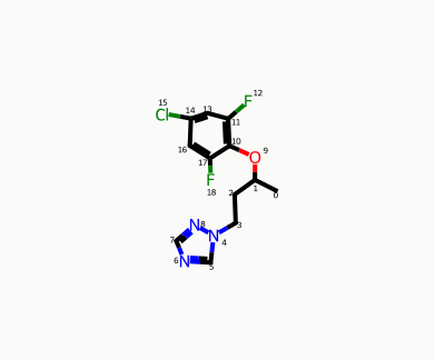 CC(CCn1cncn1)Oc1c(F)cc(Cl)cc1F